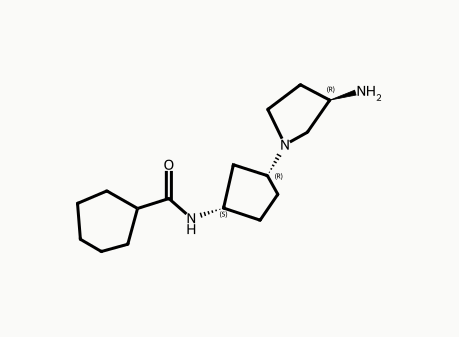 N[C@@H]1CCN([C@@H]2CC[C@H](NC(=O)C3CCCCC3)C2)C1